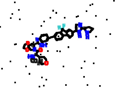 O=C(O)N[C@H](C(=O)N1CC2(C[C@H]1c1nc3ccc(-c4ccc5c(c4)C(F)(F)c4cc(-c6cnc([C@@H]7CCCN7)[nH]6)ccc4-5)cc3[nH]1)OCCO2)C1CCOCC1